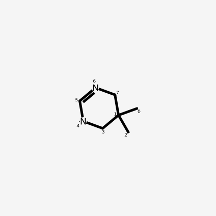 CC1(C)C[N]C=NC1